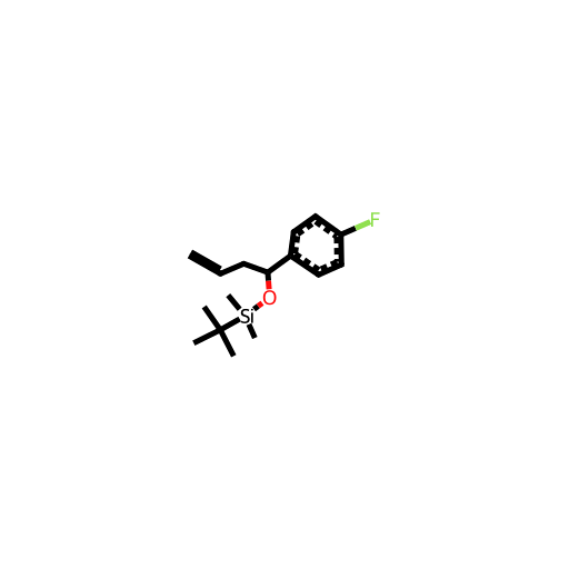 C=CCC(O[Si](C)(C)C(C)(C)C)c1ccc(F)cc1